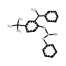 CC(c1ccccc1)c1cc(C(C)(C)C)ccc1OP(O)Oc1ccccc1